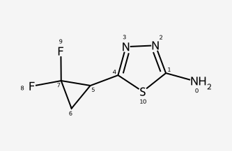 Nc1nnc(C2CC2(F)F)s1